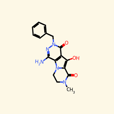 CN1CCn2c(c(O)c3c(=O)n(Cc4ccccc4)nc(N)c32)C1=O